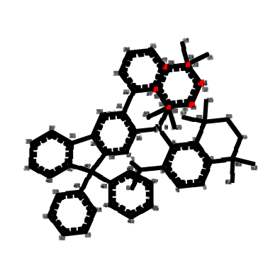 CC(C)c1ccc2c(c1N(c1ccccc1)c1cc3c(cc1-c1cccc4c1C(C)(C)CCC4(C)C)-c1ccccc1C3(c1ccccc1)c1ccccc1)C(C)(C)CCC2(C)C